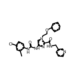 Cc1cc(Cl)ccc1NC(=O)Nc1cn(CCOc2ccccc2)c(C(=O)NCc2cccnc2)n1